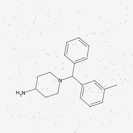 Cc1cccc(C(c2ccccc2)N2CCC(N)CC2)c1